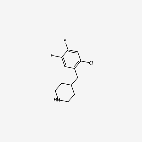 Fc1cc(Cl)c(CC2CCNCC2)cc1F